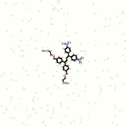 CCN(CC)c1ccc(C(=CC=C(c2ccc(COCCOC)cc2)c2ccc(COCCOC)cc2)c2ccc(N(CC)CC)cc2)cc1